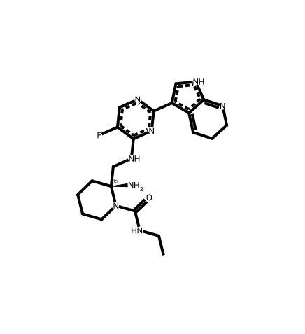 CCNC(=O)N1CCCC[C@]1(N)CNc1nc(-c2c[nH]c3c2=CCCN=3)ncc1F